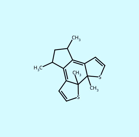 CC1CC(C)C2=C3C=CSC3(C)C3(C)SC=CC3=C21